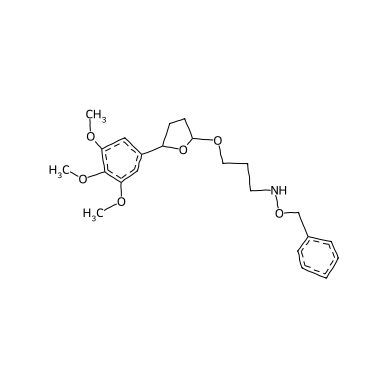 COc1cc(C2CCC(OCCCNOCc3ccccc3)O2)cc(OC)c1OC